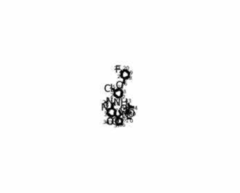 CCN(C(C)C1(c2cc3c(Nc4ccc(OCc5cccc(F)c5)c(Cl)c4)ncnc3cc2OC)CC=CO1)S(=O)(=O)C(C)C